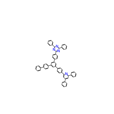 c1ccc(-c2ccc(-c3cc(-c4ccc(-c5cc(-c6ccccc6)cc(-c6ccccc6)n5)cc4)cc(-c4ccc(-c5nc(-c6ccccc6)nc(-c6ccccc6)n5)cc4)c3)cc2)cc1